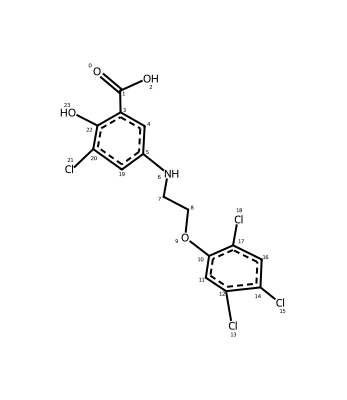 O=C(O)c1cc(NCCOc2cc(Cl)c(Cl)cc2Cl)cc(Cl)c1O